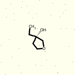 CC[C@]1(O)CCOC1